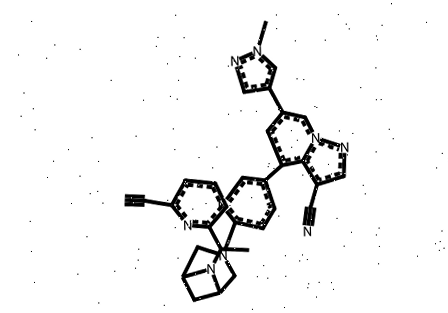 C#Cc1cccc(C(C)N2C3CC2CN(c2ccc(-c4cc(-c5cnn(C)c5)cn5ncc(C#N)c45)cn2)C3)n1